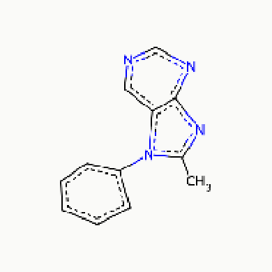 Cc1nc2ncncc2n1-c1ccccc1